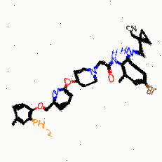 Cc1ccc(OCc2cccc(OC3CCN(CC(=O)Nc4c(C)cc(Br)cc4NCC4(CC#N)CC4)CC3)n2)c(P)c1